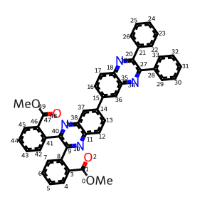 COC(=O)c1ccccc1-c1nc2ccc(-c3ccc4nc(-c5ccccc5)c(-c5ccccc5)nc4c3)cc2nc1-c1ccccc1C(=O)OC